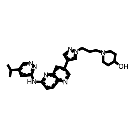 CC(C)c1cnnc(Nc2ccc3ncc(-c4cnn(CCCN5CCC(O)CC5)c4)cc3n2)c1